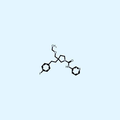 CCOCC1(CCc2ccc(F)cc2)CCN(C(=O)Nc2cccnc2)C1